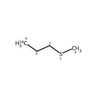 CSCC[14CH3]